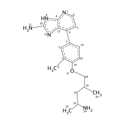 Cc1cc(-c2ccnc3[nH]c(N)nc23)ccc1OCC(C)CC(C)N